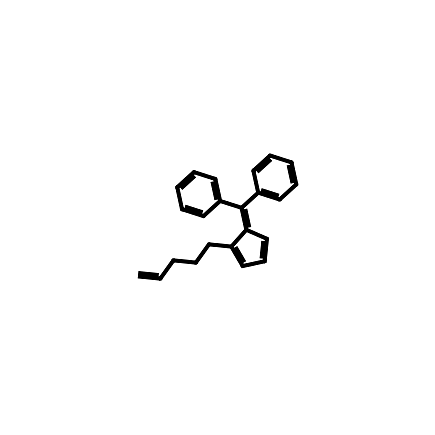 C=CCCCC1=CC=CC1=C(c1ccccc1)c1ccccc1